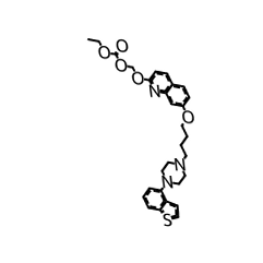 CCOC(=O)OCOc1ccc2ccc(OCCCCN3CCN(c4cccc5sccc45)CC3)cc2n1